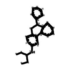 CCC(CC)Nc1ncc2c(n1)-c1ccccc1C(c1ccccc1)C2